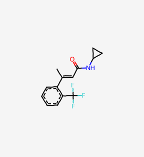 C/C(=C\C(=O)NC1CC1)c1ccccc1C(F)(F)F